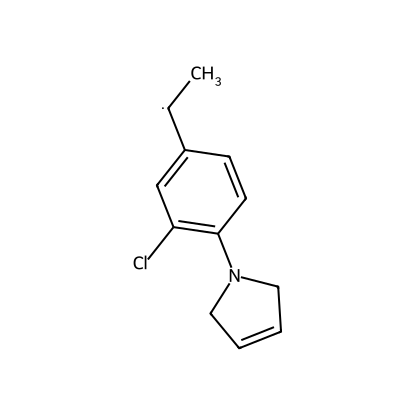 C[CH]c1ccc(N2CC=CC2)c(Cl)c1